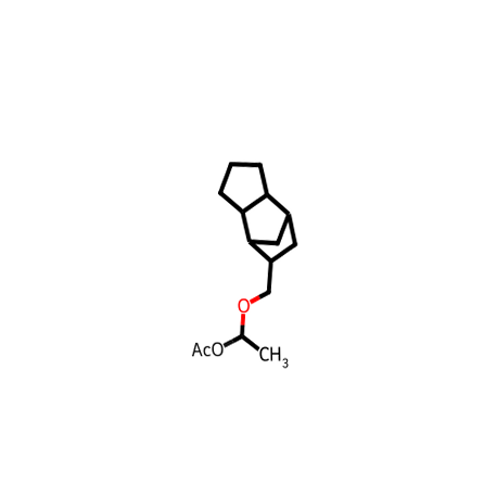 CC(=O)OC(C)OCC1CC2CC1C1CCCC21